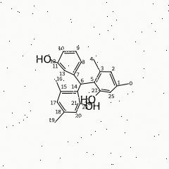 Cc1cc(C)c(C(c2cccc(O)c2)c2c(C)cc(C)cc2O)c(O)c1